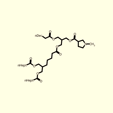 CCCCCCCCCCCC(=O)OCC(COC(=O)CCCCC(COC(=O)CCCCCCC)COC(=O)CCCCCCC)COC(=O)C1CCN(C)C1